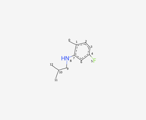 Cc1ccc(F)cc1NCC(C)C